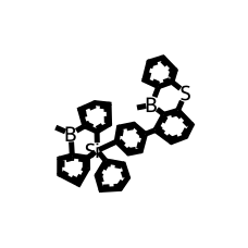 CB1c2ccccc2[Si](c2ccccc2)(c2ccc(-c3cccc4c3B(C)c3ccccc3S4)cc2)c2ccccc21